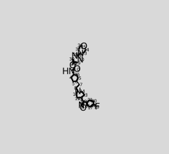 O=C(N[C@H]1CC[C@H](CCN2CCC(c3noc4cc(F)ccc34)CC2)CC1)Oc1cnc(N2CCOCC2)nc1